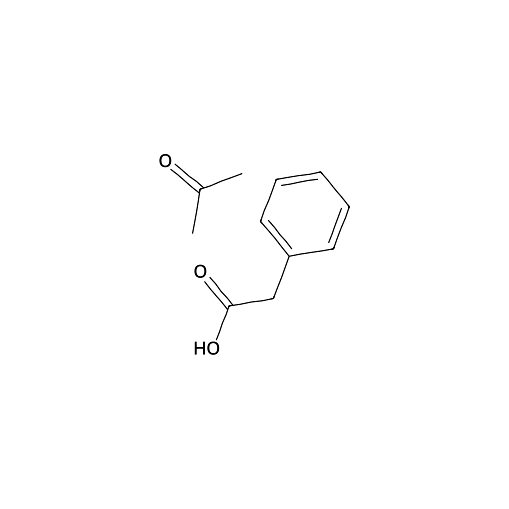 CC(C)=O.O=C(O)Cc1ccccc1